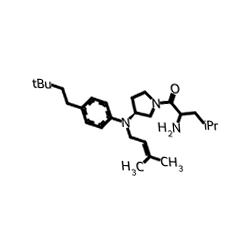 CC(C)=CCN(c1ccc(CCC(C)(C)C)cc1)[C@H]1CCN(C(=O)C(N)CC(C)C)C1